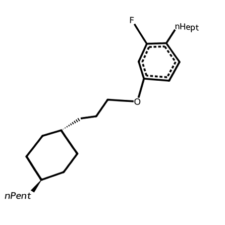 CCCCCCCc1ccc(OCCC[C@H]2CC[C@H](CCCCC)CC2)cc1F